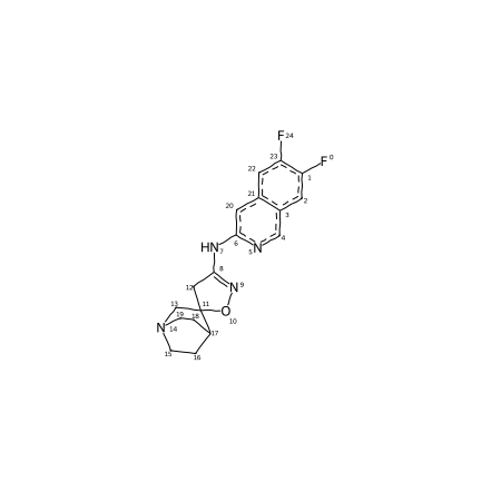 Fc1cc2cnc(NC3=NOC4(C3)CN3CCC4CC3)cc2cc1F